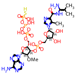 CO[C@@H]1[C@H](OP(=O)(O)OC[C@H]2O[C@@H](n3cnc(C(=O)NC(N)=C(C)C)c3C)[C@H](O)[C@@H]2O)[C@@H](COP(=O)(O)OP(=O)(O)OP(=O)(O)S)O[C@H]1n1cnc2c(N)ncnc21